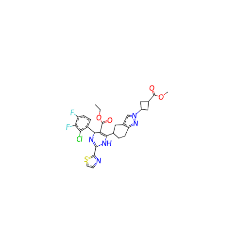 CCOC(=O)C1=C(C2CCc3nn(C4CC(C(=O)OC)C4)cc3C2)NC(c2nccs2)=NC1c1ccc(F)c(F)c1Cl